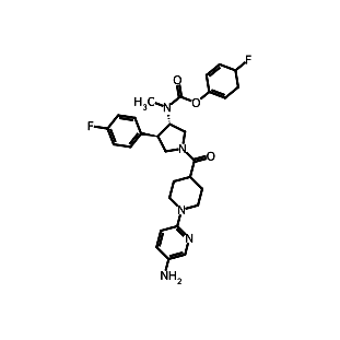 CN(C(=O)OC1=CCC(F)C=C1)[C@@H]1CN(C(=O)C2CCN(c3ccc(N)cn3)CC2)C[C@H]1c1ccc(F)cc1